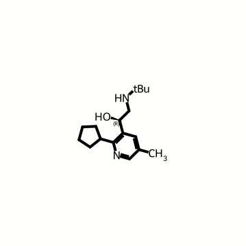 Cc1cnc(C2CCCC2)c([C@@H](O)CNC(C)(C)C)c1